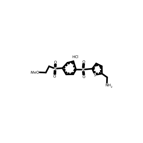 COCCS(=O)(=O)c1ccc(S(=O)(=O)c2ccc(CN)s2)cc1.Cl